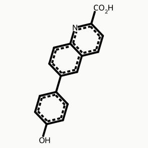 O=C(O)c1ccc2cc(-c3ccc(O)cc3)ccc2n1